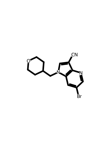 N#Cc1cn(CC2CCOCC2)c2cc(Br)cnc12